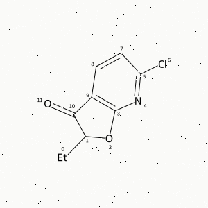 CCC1Oc2nc(Cl)ccc2C1=O